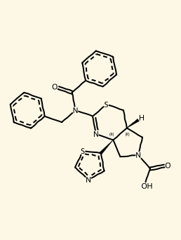 O=C(O)N1C[C@H]2CSC(N(Cc3ccccc3)C(=O)c3ccccc3)=N[C@@]2(c2cncs2)C1